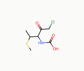 CSC(C)C(NC(=O)O)C(=O)CCl